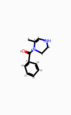 CC1=CNCCN1C(=O)c1ccccc1